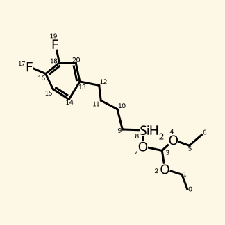 CCOC(OCC)O[SiH2]CCCCc1ccc(F)c(F)c1